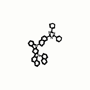 C1=CC(c2nc(C3=CCCC=C3)nc(-c3ccc4cc(-n5c6ccccc6c6cc7c8ccc9ccccc9c8n(-c8cccc9ccccc89)c7cc65)ccc4c3)n2)=CCC1